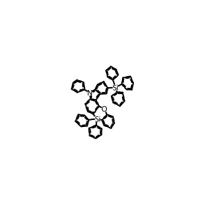 c1ccc(-n2c3ccc([Si](c4ccccc4)(c4ccccc4)c4ccccc4)cc3c3c4c(ccc32)[Si](c2ccccc2)(c2ccccc2)c2ccccc2O4)cc1